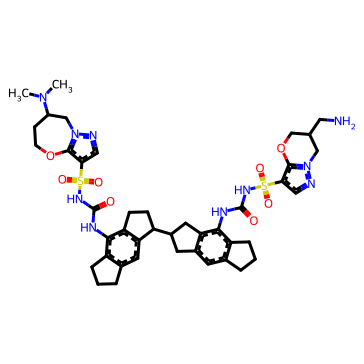 CN(C)C1CCOc2c(S(=O)(=O)NC(=O)Nc3c4c(cc5c3CCC5C3Cc5cc6c(c(NC(=O)NS(=O)(=O)c7cnn8c7OCC(CN)C8)c5C3)CCC6)CCC4)cnn2C1